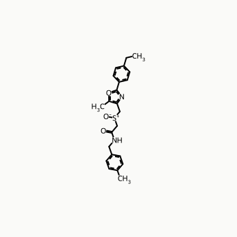 CCc1ccc(-c2nc(C[S+]([O-])CC(=O)NCc3ccc(C)cc3)c(C)o2)cc1